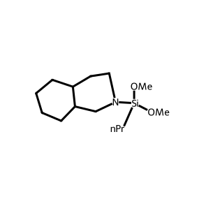 CCC[Si](OC)(OC)N1CCC2CCCCC2C1